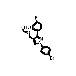 O=CCOCc1cn(-c2ccc(Br)cc2)nc1-c1ccc(F)cc1